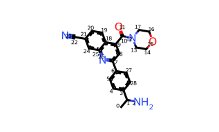 CC(N)c1ccc(-c2cc(C(=O)N3CCOCC3)c3ccc(C#N)cc3n2)cc1